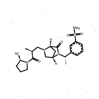 CNS(=O)(=O)c1cccc([C@H](C)N2C(=O)[C@@H]3C[C@H]2CN3C[C@H](C)C(=O)N2CCC[C@H]2C#N)c1